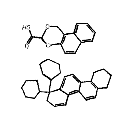 C1=Cc2c(ccc3c4c(ccc23)CCCC4)C(C2CCCCC2)(C2CCCCC2)C1.O=C(O)C1OCc2c(ccc3ccccc23)O1